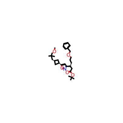 COCC(C)(C)C[C@H]1C[C@@H](c2cc([C@@H](CCCOCc3ccccc3)CC(=O)OC(C)(C)C)no2)C1